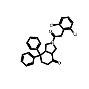 O=C1CCC(c2ccccc2)(c2ccccc2)C2CN(C(=O)Cc3c(Cl)cccc3Cl)CC12